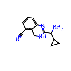 N#Cc1cccc2c1CNC(C(N)C1CC1)=N2